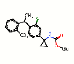 CC(c1ccc(C2(NC(=O)OC(C)(C)C)CC2)cc1Cl)c1ccccc1C(=O)O